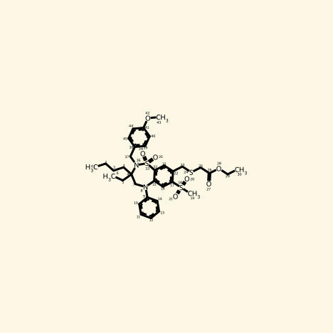 CCCCC1(CC)CN(c2ccccc2)c2cc(S(C)(=O)=O)c(CSCC(=O)OCC)cc2S(=O)(=O)N1Cc1ccc(OC)cc1